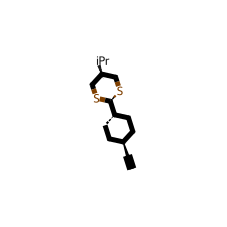 C#C[C@H]1CC[C@H]([C@H]2SC[C@H](C(C)C)CS2)CC1